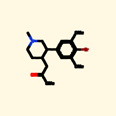 COC(=O)CC1CCN(C)CC1c1cc(OC)c(Br)c(OC)c1